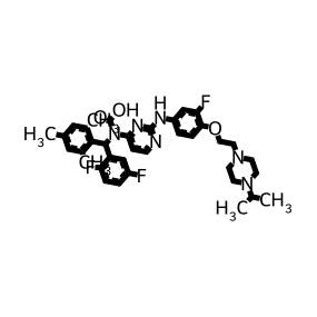 Cc1cc(C)c(C(c2cc(F)ccc2F)N(C(=O)O)c2ccnc(Nc3ccc(OCCN4CCN(C(C)C)CC4)c(F)c3)n2)c(C)c1